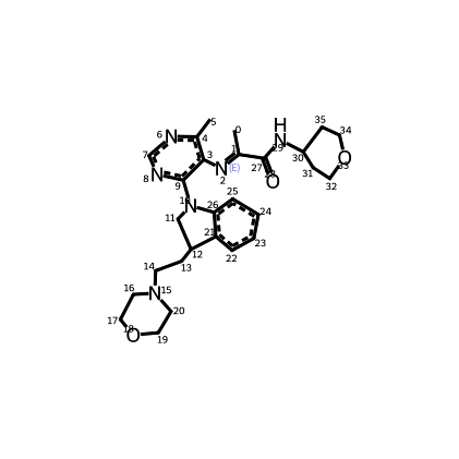 C/C(=N\c1c(C)ncnc1N1CC(CCN2CCOCC2)c2ccccc21)C(=O)NC1CCOCC1